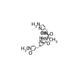 Cc1nc(N)ccc1CNC(=O)[C@H](C)NC(=O)[C@H]1C[C@H](Cc2ccn(C)c(=O)c2)CN1